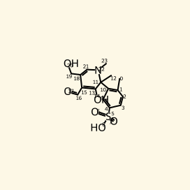 Cc1ccc(S(=O)(=O)O)cc1C1(C)C(O)=C(C=O)C(CO)=CN1C